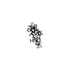 Cc1c(CNNC(=O)OC(C)(C)C)sc2c1c(=O)n(C(C)C)c(=O)n2CC1CCCO1